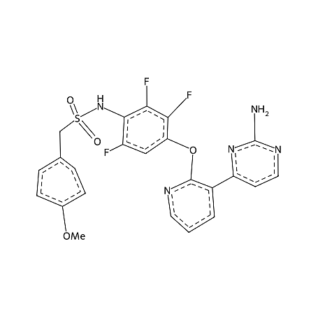 COc1ccc(CS(=O)(=O)Nc2c(F)cc(Oc3ncccc3-c3ccnc(N)n3)c(F)c2F)cc1